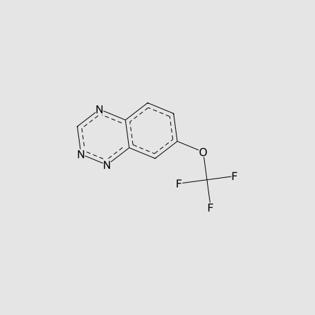 FC(F)(F)Oc1ccc2ncnnc2c1